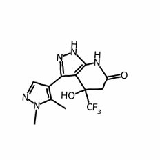 Cc1c(-c2n[nH]c3c2C(O)(C(F)(F)F)CC(=O)N3)cnn1C